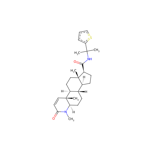 CN1C(=O)C=C[C@]2(C)[C@H]3CC[C@]4(C)[C@@H](C(=O)NC(C)(C)c5cccs5)CC[C@H]4[C@@H]3CC[C@@H]12